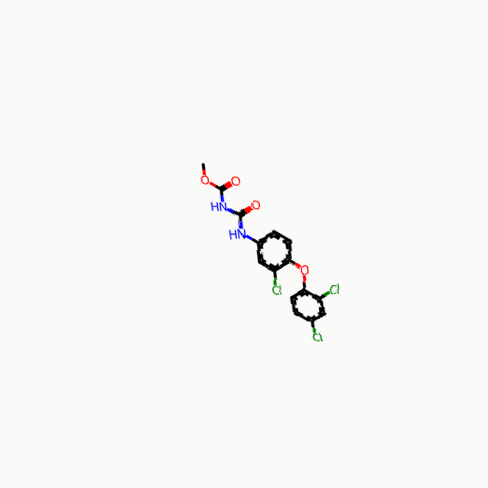 COC(=O)NC(=O)Nc1ccc(Oc2ccc(Cl)cc2Cl)c(Cl)c1